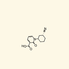 N#C[C@@H]1CCCC(n2cccc(C(=O)O)c2=O)C1